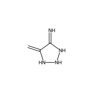 C=C1NNNC1=N